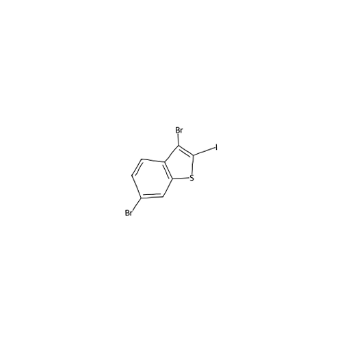 Brc1ccc2c(Br)c(I)sc2c1